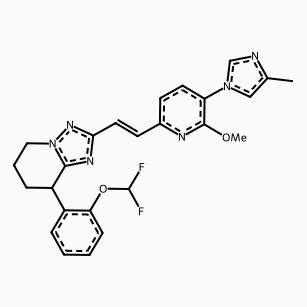 COc1nc(C=Cc2nc3n(n2)CCCC3c2ccccc2OC(F)F)ccc1-n1cnc(C)c1